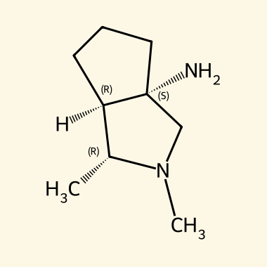 C[C@@H]1[C@H]2CCC[C@@]2(N)CN1C